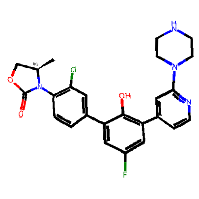 C[C@@H]1COC(=O)N1c1ccc(-c2cc(F)cc(-c3ccnc(N4CCNCC4)c3)c2O)cc1Cl